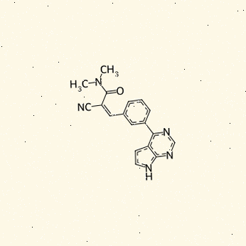 CN(C)C(=O)C(C#N)=Cc1cccc(-c2ncnc3[nH]ccc23)c1